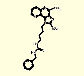 CCCCc1nc2c([AsH2])nc3cccnc3c2n1CCCCNC(=O)NCc1ccccc1